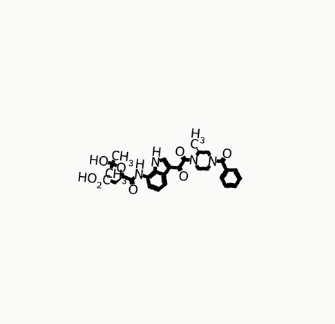 C[C@@H]1CN(C(=O)c2ccccc2)CCN1C(=O)C(=O)c1c[nH]c2c(NC(=O)[C@@H](CC(=O)O)OC(C)(C)O)cccc12